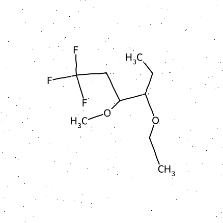 CCO[C](CC)C(CC(F)(F)F)OC